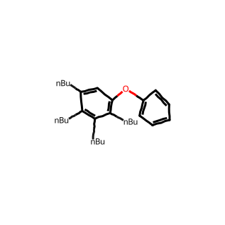 CCCCc1cc(Oc2ccccc2)c(CCCC)c(CCCC)c1CCCC